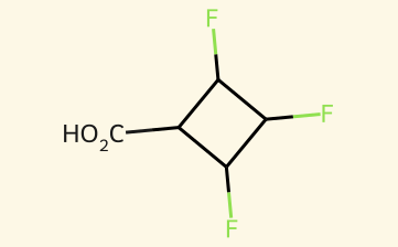 O=C(O)C1C(F)C(F)C1F